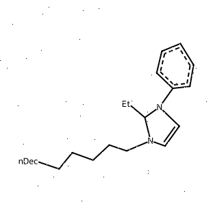 CCCCCCCCCCCCCCCN1C=CN(c2ccccc2)C1CC